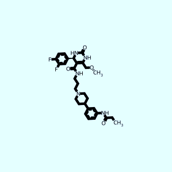 CCC(=O)Nc1cccc(C2CCN(CCCNC(=O)C3=C(COC)NC(=O)N[C@@H]3c3ccc(F)c(F)c3)CC2)c1